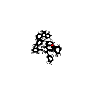 CC1(C)c2ccccc2-c2c(N(c3ccc(-c4ccccc4)cc3)c3ccc4sc5cccc(-c6nc(-c7ccccc7)c7ccccc7n6)c5c4c3)cccc21